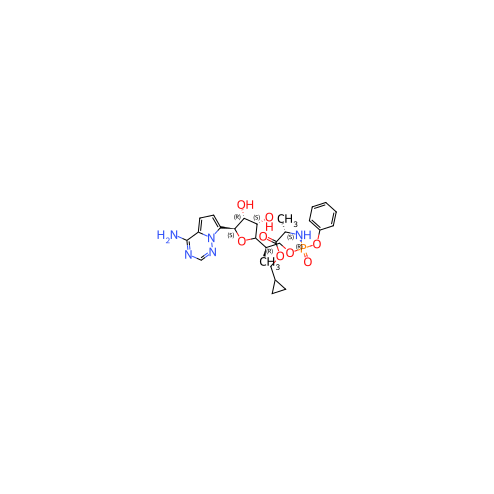 C[C@H](N[P@@](=O)(OC[C@@H](C)C1O[C@@H](c2ccc3c(N)ncnn23)[C@H](O)[C@@H]1O)Oc1ccccc1)C(=O)OCC1CC1